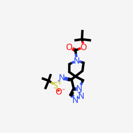 CC(C)(C)OC(=O)N1CCC2(CC1)Cn1nncc1C2=N[S+]([O-])C(C)(C)C